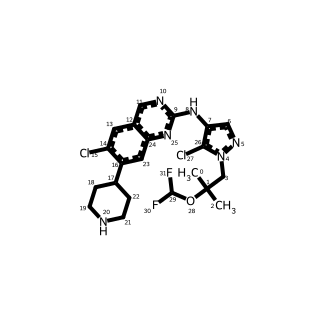 CC(C)(Cn1ncc(Nc2ncc3cc(Cl)c(C4CCNCC4)cc3n2)c1Cl)OC(F)F